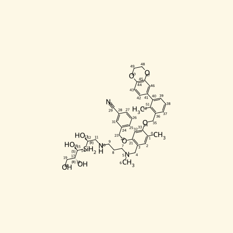 Cc1cc(CN(C)CCCNC[C@H](O)[SiH2][C@H](O)[C@H](O)CO)c(OCc2cccc(C#N)c2)cc1OCc1cccc(-c2ccc3c(c2)OCCO3)c1C